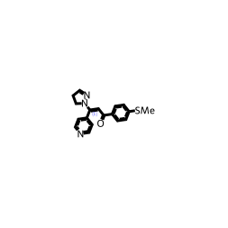 CSc1ccc(C(=O)/C=C(\c2ccncc2)N2CCC=N2)cc1